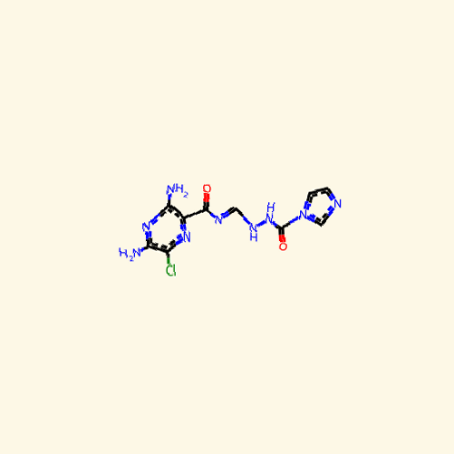 Nc1nc(N)c(C(=O)N=CNNC(=O)n2ccnc2)nc1Cl